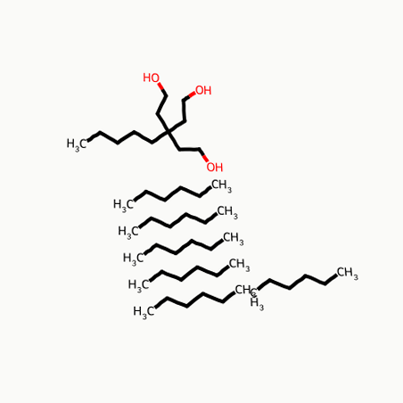 CCCCCC.CCCCCC.CCCCCC.CCCCCC.CCCCCC.CCCCCC.CCCCCC(CCO)(CCO)CCO